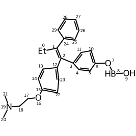 CCC(=C(c1ccc(OBO)cc1)c1ccc(OCCN(C)C)cc1)c1ccccc1